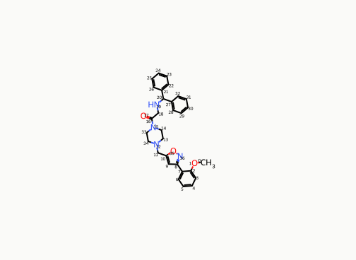 COc1ccccc1-c1cc(CN2CCN(C(=O)CNC(c3ccccc3)c3ccccc3)CC2)on1